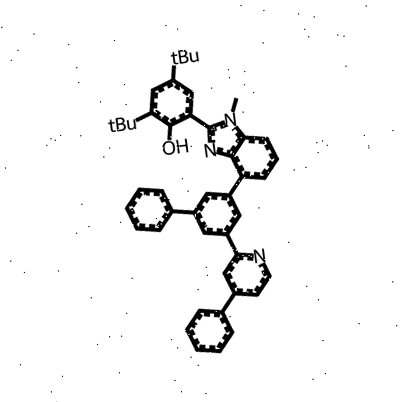 Cn1c(-c2cc(C(C)(C)C)cc(C(C)(C)C)c2O)nc2c(-c3cc(-c4ccccc4)cc(-c4cc(-c5ccccc5)ccn4)c3)cccc21